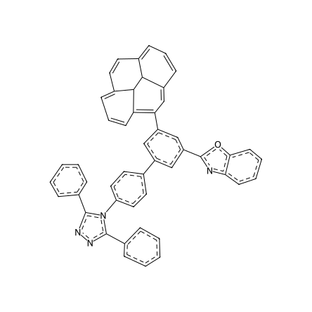 C1=CC2=CC(c3cc(-c4ccc(-n5c(-c6ccccc6)nnc5-c5ccccc5)cc4)cc(-c4nc5ccccc5o4)c3)=C3C=CC=C4C=CC(=C1)C2C43